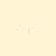 CCCCCCCN(C)[C@H]1[C@H](OCC(C)(O)C(C)(C)CCCC)[C@H](O)C[C@@H]1O